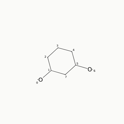 [O]C1CCCC([O])C1